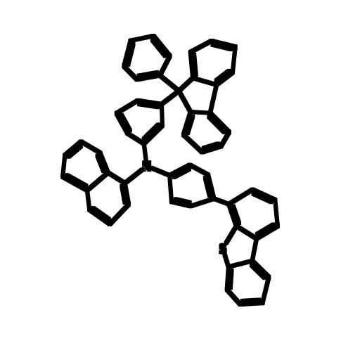 c1ccc(C2(c3cccc(N(c4ccc(-c5cccc6c5sc5ccccc56)cc4)c4cccc5ccccc45)c3)c3ccccc3-c3ccccc32)cc1